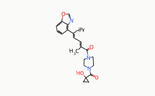 C/C(=C\C=C(\c1cccc2ocnc12)C(C)C)C(=O)N1CCN(C(=O)C2(O)CC2)CC1